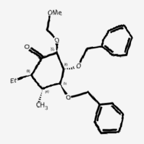 CC[C@H]1C(=O)[C@@H](OCOC)[C@H](OCc2ccccc2)[C@@H](OCc2ccccc2)[C@@H]1C